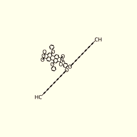 C#CC#CC#CC#CC#CC#CC#CC#COc1ccc(CN2C(=O)c3ccc4c5c(Oc6ccccc6)cc6c7c(ccc(c8c(Oc9ccccc9)cc(c3c48)C2=O)c75)C(=O)OC6=O)cc1OC#CC#CC#CC#CC#CC#CC#CC#C